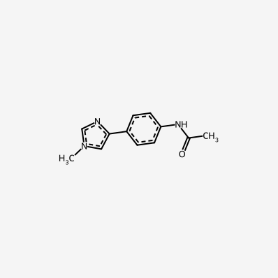 CC(=O)Nc1ccc(-c2cn(C)cn2)cc1